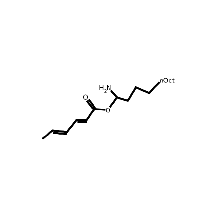 C/C=C/C=C/C(=O)OC(N)CCCCCCCCCCC